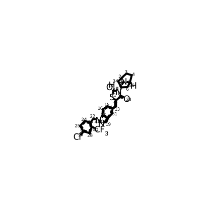 CN1C2CC[C@H]1CC(N1C(=O)S/C(=C\c3ccc4c(cnn4Cc4ccc(Cl)cc4C(F)(F)F)c3)C1=O)C2